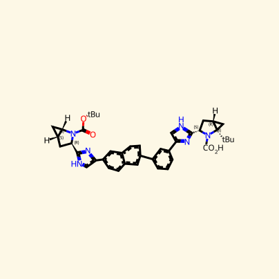 CC(C)(C)OC(=O)N1[C@@H](c2nc(-c3ccc4cc(-c5cccc(-c6c[nH]c([C@@H]7C[C@@H]8C[C@@]8(C(C)(C)C)N7C(=O)O)n6)c5)ccc4c3)c[nH]2)C[C@@H]2C[C@@H]21